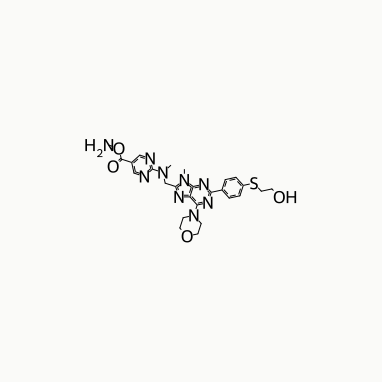 CN(Cc1nc2c(N3CCOCC3)nc(-c3ccc(SCCO)cc3)nc2n1C)c1ncc(C(=O)ON)cn1